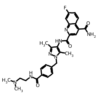 Cc1nn(Cc2ccc(C(=O)NCCN(C)C)cc2)c(C)c1NC(=O)c1cc(C(N)=O)c2ccc(F)cc2n1